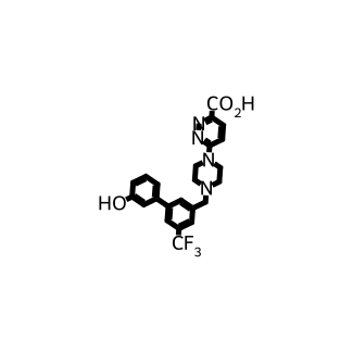 O=C(O)c1ccc(N2CCN(Cc3cc(-c4cccc(O)c4)cc(C(F)(F)F)c3)CC2)nn1